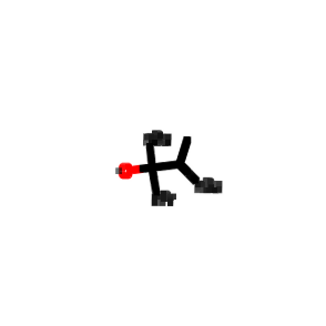 CCCCC(C)C([O])(CCC)CCCC